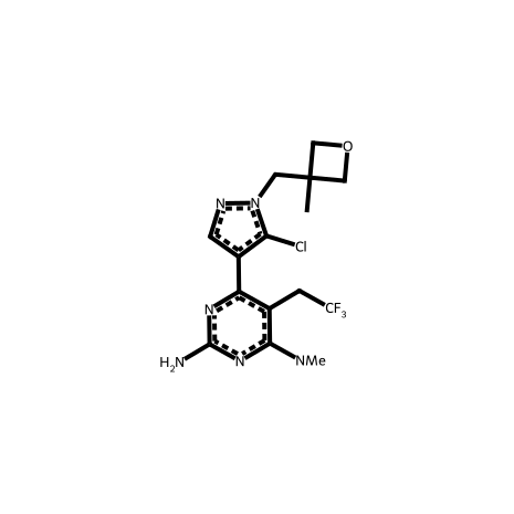 CNc1nc(N)nc(-c2cnn(CC3(C)COC3)c2Cl)c1CC(F)(F)F